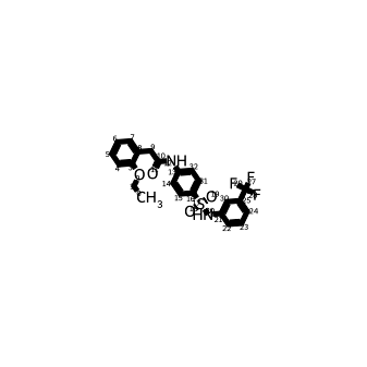 CCOc1ccccc1CC(=O)Nc1ccc(S(=O)(=O)Nc2cccc(C(F)(F)F)c2)cc1